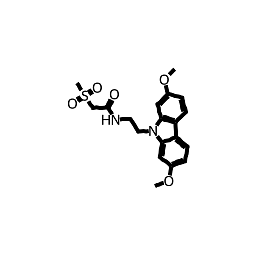 COc1ccc2c3ccc(OC)cc3n(CCNC(=O)CS(C)(=O)=O)c2c1